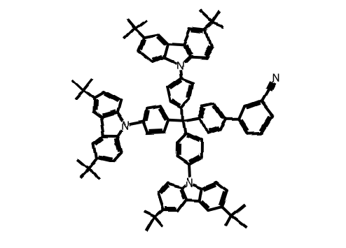 CC(C)(C)c1ccc2c(c1)c1cc(C(C)(C)C)ccc1n2-c1ccc(C(c2ccc(-c3cccc(C#N)c3)cc2)(c2ccc(-n3c4ccc(C(C)(C)C)cc4c4cc(C(C)(C)C)ccc43)cc2)c2ccc(-n3c4ccc(C(C)(C)C)cc4c4cc(C(C)(C)C)ccc43)cc2)cc1